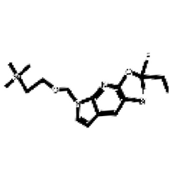 CCC(F)(F)Oc1nc2c(ccn2COCC[Si](C)(C)C)cc1Br